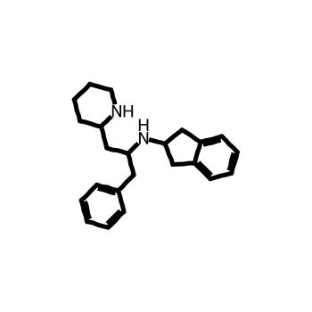 c1ccc(CC(CC2CCCCN2)NC2Cc3ccccc3C2)cc1